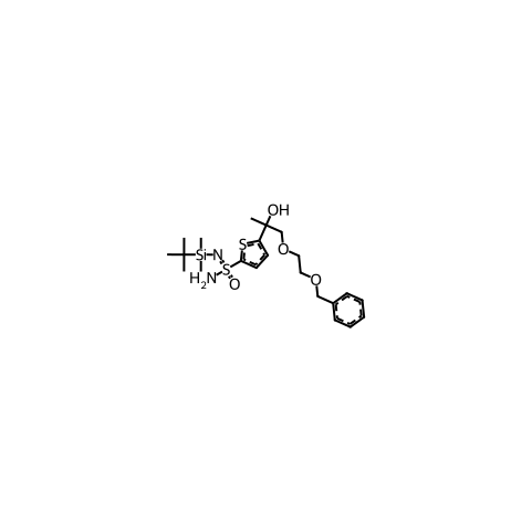 CC(O)(COCCOCc1ccccc1)c1ccc(S(N)(=O)=N[Si](C)(C)C(C)(C)C)s1